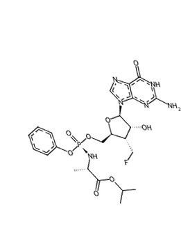 CC(C)OC(=O)[C@H](C)N[P@@](=O)(OC[C@H]1O[C@@H](n2cnc3c(=O)[nH]c(N)nc32)[C@H](O)[C@@H]1CF)Oc1ccccc1